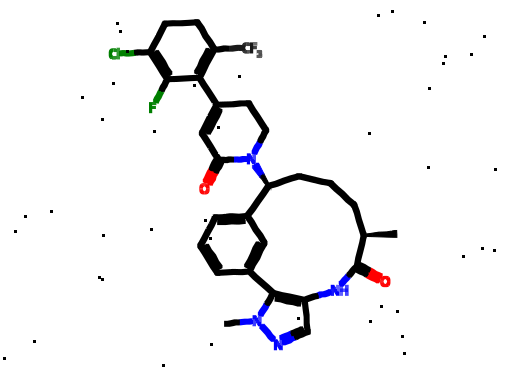 C[C@@H]1CCC[C@H](N2CCC(C3=C(C(F)(F)F)CCC(Cl)=C3F)=CC2=O)c2cccc(c2)-c2c(cnn2C)NC1=O